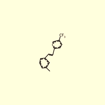 Cc1cccc(C=Cc2ccc(C(F)(F)F)cc2)c1